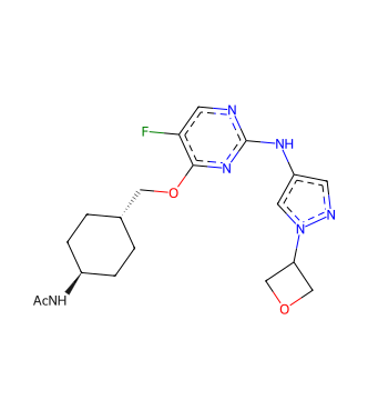 CC(=O)N[C@H]1CC[C@H](COc2nc(Nc3cnn(C4COC4)c3)ncc2F)CC1